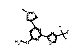 Cn1cc(-c2cc(OP)nc(-c3nc(C(F)(F)F)cs3)n2)cn1